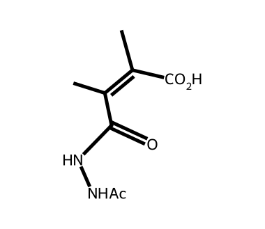 CC(=O)NNC(=O)/C(C)=C(/C)C(=O)O